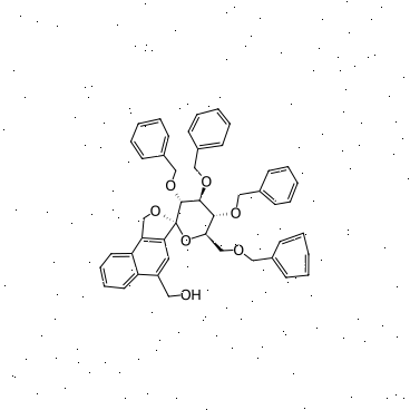 OCc1cc2c(c3ccccc13)CO[C@]21O[C@H](COCc2ccccc2)[C@@H](OCc2ccccc2)[C@H](OCc2ccccc2)[C@H]1OCc1ccccc1